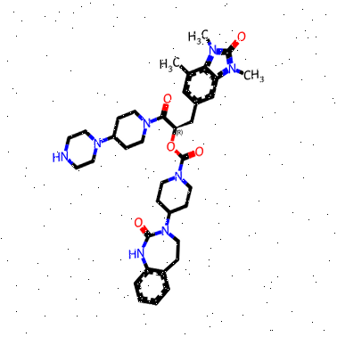 Cc1cc(C[C@@H](OC(=O)N2CCC(N3CCc4ccccc4NC3=O)CC2)C(=O)N2CCC(N3CCNCC3)CC2)cc2c1n(C)c(=O)n2C